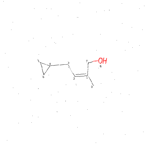 CC(=CCC1CC1)CO